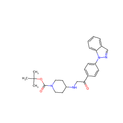 CC(C)(C)OC(=O)N1CCC(NCC(=O)c2ccc(-n3ncc4ccccc43)cc2)CC1